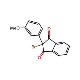 COc1cccc(C2(Br)C(=O)c3ccccc3C2=O)c1